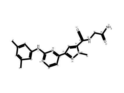 Cc1cc(C)cc(Nc2nccc(-c3cc(C(=O)NCC(N)=O)n(C)n3)n2)c1